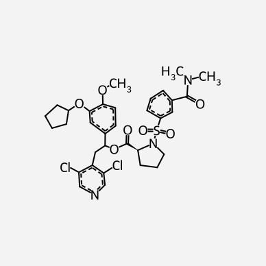 COc1ccc(C(Cc2c(Cl)cncc2Cl)OC(=O)[C@@H]2CCCN2S(=O)(=O)c2cccc(C(=O)N(C)C)c2)cc1OC1CCCC1